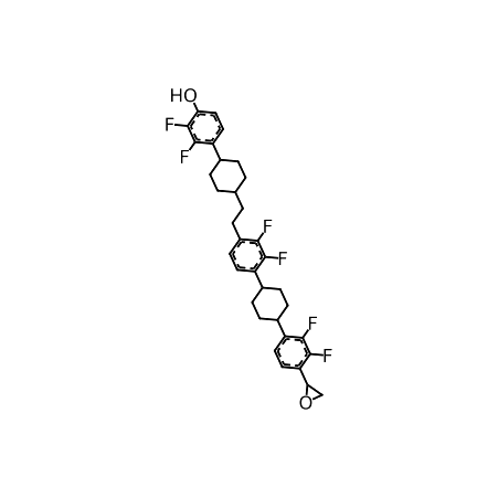 Oc1ccc(C2CCC(CCc3ccc(C4CCC(c5ccc(C6CO6)c(F)c5F)CC4)c(F)c3F)CC2)c(F)c1F